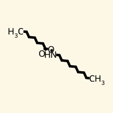 CCCCCCCCCNOC(=O)CCCCCC